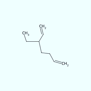 C=CCCC(C=C)CC